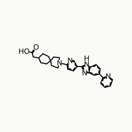 O=C(O)CC1CCC2(CC1)CCN(c1ccc(-c3nc4cc(-c5ccccn5)ccc4[nH]3)cn1)CC2